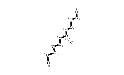 [K+].[K+].[O-]OOOOOOOOOO[O-]